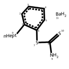 CCCCCCCc1ccccc1SC(N)=S.[BaH2]